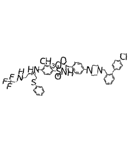 Cc1cc(S(=O)(=O)NC(=O)c2ccc(N3CCN(Cc4ccccc4-c4ccc(Cl)cc4)CC3)cc2)ccc1N[C@H](CCNCC(F)(F)F)CSc1ccccc1